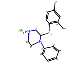 Br.Cc1ccc(SC2CNCCN2c2ccccc2)c(C)c1